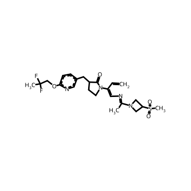 C=C/C(=C\N=C(/C)N1CC(S(C)(=O)=O)C1)N1CCC(Cc2ccc(OCC(C)(F)F)nc2)C1=O